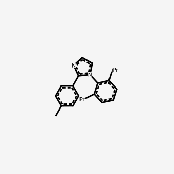 Cc1ccc(-c2nccn2-c2c(C(C)C)cccc2C(C)C)cc1